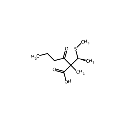 CCCC(=O)C(C)(C(=O)O)[C@H](C)SC